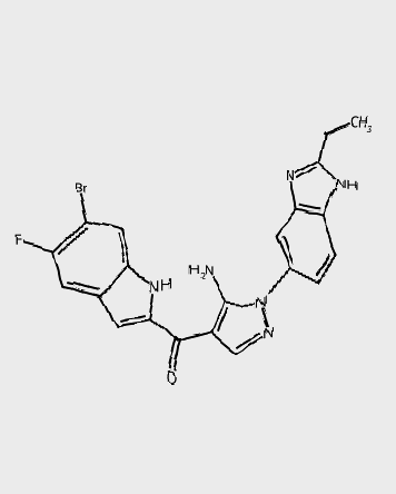 CCc1nc2cc(-n3ncc(C(=O)c4cc5cc(F)c(Br)cc5[nH]4)c3N)ccc2[nH]1